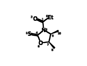 CCC(=O)N1C(=S)O[C@H](C)[C@@H]1C